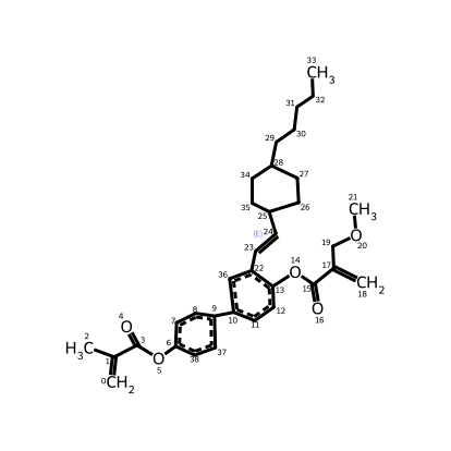 C=C(C)C(=O)Oc1ccc(-c2ccc(OC(=O)C(=C)COC)c(/C=C/C3CCC(CCCCC)CC3)c2)cc1